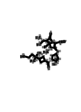 C[C@@H](O)[C@H]1C(=O)N2C(C(=O)[O-])=C(S[C@@H]3CN[C@H](C(=O)N4CC([N+](C)(C)CCO)C4)C3)[C@H](C)[C@H]12.Cl